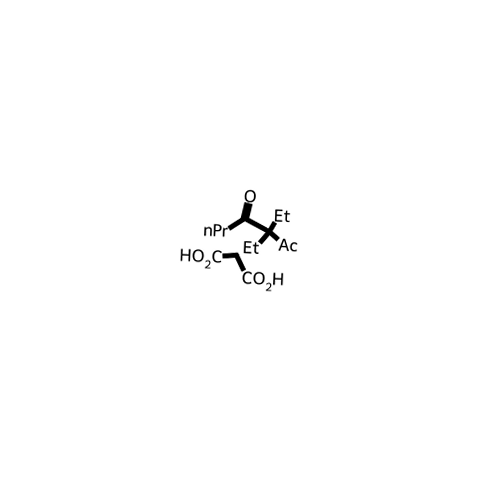 CCCC(=O)C(CC)(CC)C(C)=O.O=C(O)CC(=O)O